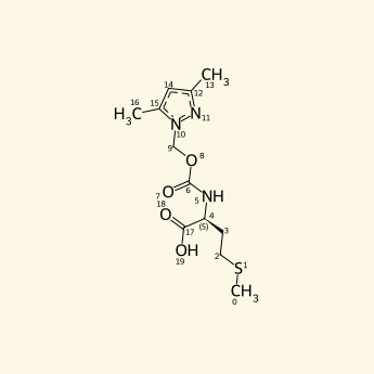 CSCC[C@H](NC(=O)OCn1nc(C)cc1C)C(=O)O